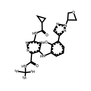 [2H]C([2H])([2H])NC(=O)c1nnc(NC(=O)C2CC2)cc1Nc1cccc(-c2cnn(C3COC3)n2)c1OC